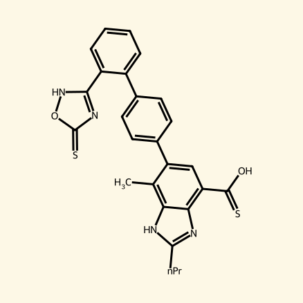 CCCc1nc2c(C(O)=S)cc(-c3ccc(-c4ccccc4-c4nc(=S)o[nH]4)cc3)c(C)c2[nH]1